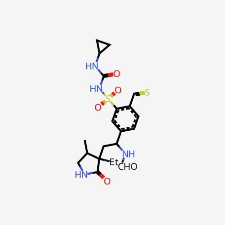 CCC1(CC(NC=O)c2ccc(C=S)c(S(=O)(=O)NC(=O)NC3CC3)c2)C(=O)NCC1C